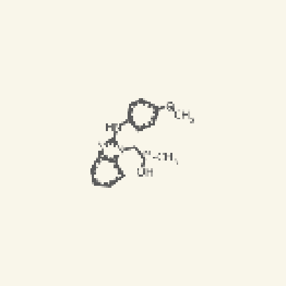 COc1ccc(Nc2nc3ccccc3n2C[C@H](C)O)cc1